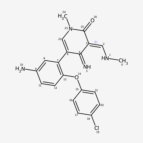 CN/C=C1\C(=N)C(c2cc(N)ccc2Oc2ccc(Cl)cc2)=CN(C)C1=O